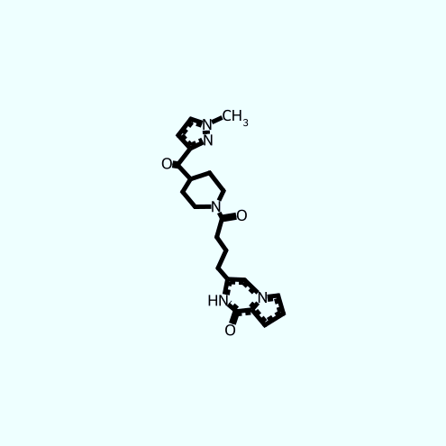 Cn1ccc(C(=O)C2CCN(C(=O)CCCc3cn4cccc4c(=O)[nH]3)CC2)n1